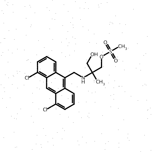 CC(CO)(COS(C)(=O)=O)NCc1c2cccc(Cl)c2cc2c(Cl)cccc12